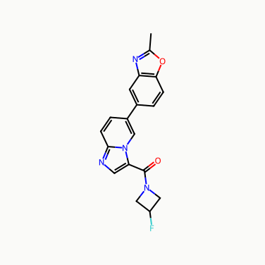 Cc1nc2cc(-c3ccc4ncc(C(=O)N5CC(F)C5)n4c3)ccc2o1